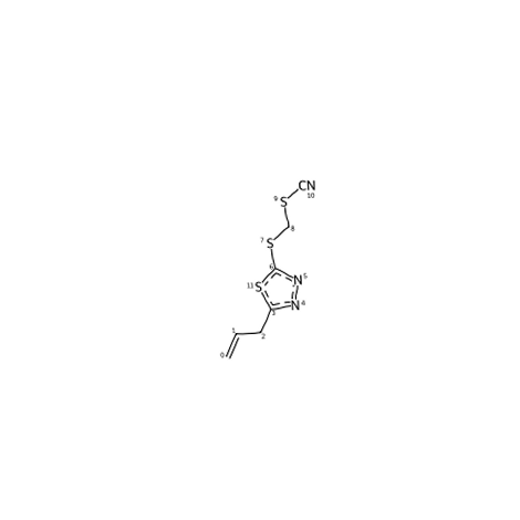 C=CCc1nnc(SCSC#N)s1